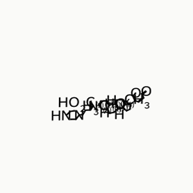 C[C@]12CC[C@H](N(CCCN3CCNCC3)C(=O)O)C[C@H]1CC[C@@H]1[C@@H]2CC[C@]2(C)[C@@H](c3ccc(=O)oc3)CC[C@]12O